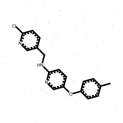 Cc1ccc(Oc2ccc(NCc3ccc(Cl)nc3)nc2)cc1